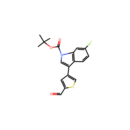 CC(C)(C)OC(=O)n1cc(-c2csc(C=O)c2)c2ccc(F)cc21